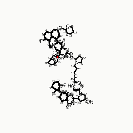 C#Cc1c(F)ccc2cc(OC3CCCCO3)cc(-c3ncc4c(N5CC6CCC(C5)N6C(=O)OC(C)(C)C)nc(OC[C@@H]5CCCN5CCCOCC(=O)N[C@H](C(=O)N5C[C@H](O)C[C@H]5C(=O)N[C@@H](C)c5ccc(-c6c(F)cccc6F)cc5)C(C)(C)C)nc4c3F)c12